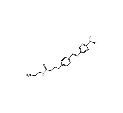 CCN(CC)c1ccc(C=Cc2cc[n+](CCCC(=O)NCCN)cc2)cc1